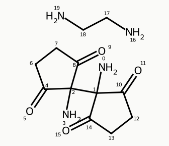 NC1(C2(N)C(=O)CCC2=O)C(=O)CCC1=O.NCCN